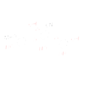 COc1cc(C2Oc3cc(C4Oc5cc(O)cc(O)c5CC4O)cc(C#N)c3OC2CO)ccc1O